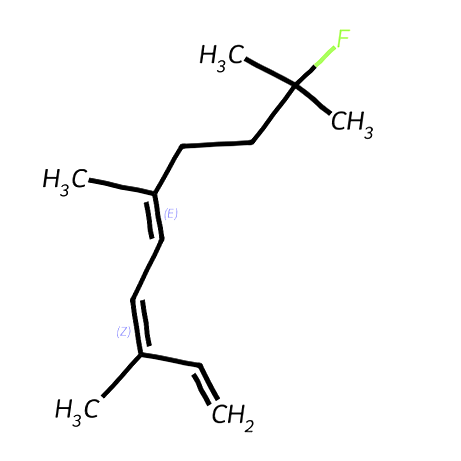 C=C/C(C)=C\C=C(/C)CCC(C)(C)F